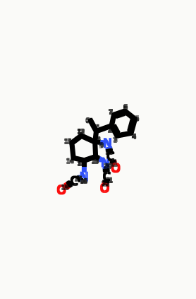 CC(c1ccccc1)C1(N=C=O)CCCC(N=C=O)C1N=C=O